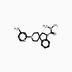 CN(C)C(=O)[C@@H]1CC2(CCN(c3cc(N)ccn3)CC2)c2ccccc21